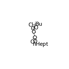 CCCCCCCC(=O)Oc1ccc(-c2ccc(OC(=O)[C@@H](Cl)C(C)CC)cc2)cc1